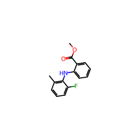 COC(=O)c1ccccc1Nc1c(C)cccc1F